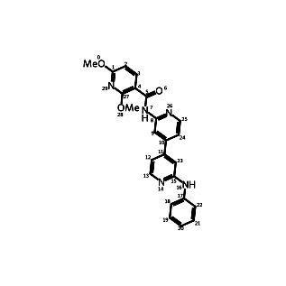 COc1ccc(C(=O)Nc2cc(-c3ccnc(Nc4ccccc4)c3)ccn2)c(OC)n1